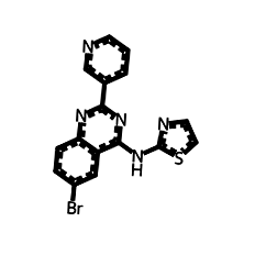 Brc1ccc2nc(-c3cccnc3)nc(Nc3nccs3)c2c1